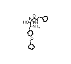 NC(Cc1ccc(OCc2ccccc2)cc1)C(O)C(F)(F)C(=O)NCc1ccccc1